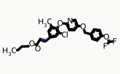 CCCCOC(=O)/C=C/c1cc(C)c(Oc2ccc(OCc3ccc(OC(F)F)cc3)cn2)c(Cl)c1